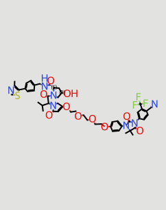 Cc1ncsc1-c1ccc(CNC(=O)[C@@H]2C[C@@H](O)CN2C(=O)C(C(C)C)N2CC(OCCOCCOCCOc3ccc(N4C(=O)N(c5ccc(C#N)c(C(F)(F)F)c5)C(=O)C4(C)C)cc3)=CC2=O)cc1